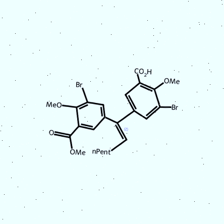 CCCCC/C=C(/c1cc(Br)c(OC)c(C(=O)O)c1)c1cc(Br)c(OC)c(C(=O)OC)c1